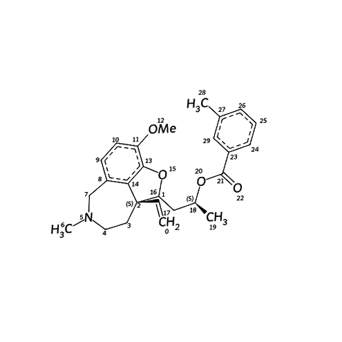 C=C[C@@]12CCN(C)Cc3ccc(OC)c(c31)OC2C[C@H](C)OC(=O)c1cccc(C)c1